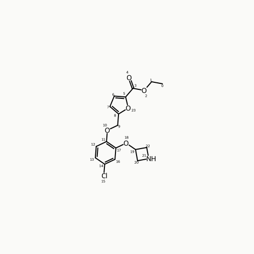 CCOC(=O)c1ccc(COc2ccc(Cl)cc2OC2CNC2)o1